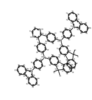 CC1(C)c2ccccc2-c2ccc(N(c3ccc(-c4nccnc4-c4ccc(N(c5ccc(-n6c7ccccc7c7ccccc76)cc5)c5ccc6c(c5)C(C)(C)c5ccccc5-6)cc4)cc3)c3ccc(-n4c5ccccc5c5ccccc54)cc3)cc21